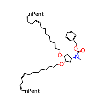 CCCCC/C=C\C/C=C\CCCCCCCCO[C@H]1C[C@H](N(C)C(=O)OCc2ccccc2)C[C@H]1OCCCCCCCC/C=C\C/C=C\CCCCC